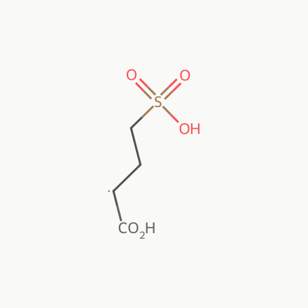 O=C(O)[CH]CCS(=O)(=O)O